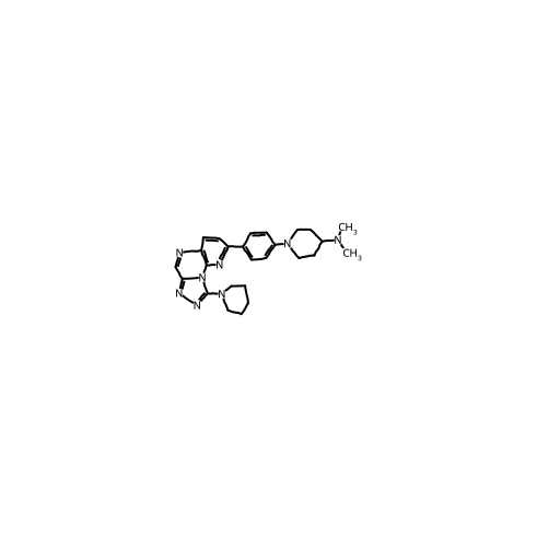 CN(C)C1CCN(c2ccc(-c3ccc4ncc5nnc(N6CCCCC6)n5c4n3)cc2)CC1